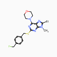 CCc1nc2c(N3CCOCC3)nc(SCc3ccc(CF)cc3)nc2n1C